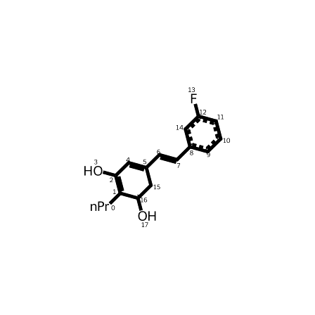 CCCC1=C(O)C=C(C=Cc2cccc(F)c2)C[C]1O